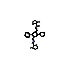 C(=N\NC1=NCCN1)/c1cc(-c2ccccc2)c(/C=N/NC2=NCCN2)cc1-c1ccccc1